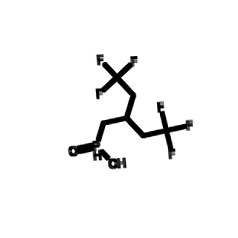 O=[PH](O)CC(CC(F)(F)F)CC(F)(F)F